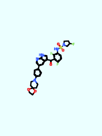 O=C(c1c(F)ccc(NS(=O)(=O)N2CCC(F)C2)c1F)c1c[nH]c2ncc(-c3ccc(N4CCC5(CC4)OCCO5)cc3)cc12